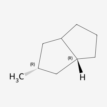 C[C@@H]1CC2CCC[C@@H]2C1